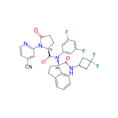 N#Cc1ccnc(N2C(=O)CC[C@H]2C(=O)N(c2cc(F)cc(F)c2)[C@]2(C(=O)NC3CC(F)(F)C3)CCc3ccccc32)c1